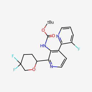 CC(C)(C)OC(=O)Nc1c(-c2ncccc2F)ccnc1C1CCC(F)(F)CO1